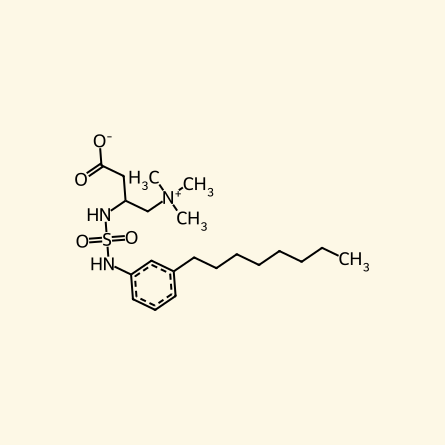 CCCCCCCCc1cccc(NS(=O)(=O)NC(CC(=O)[O-])C[N+](C)(C)C)c1